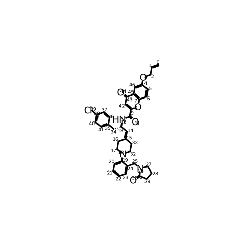 C=CCOc1ccc2oc(C(=O)N[C@H](C=C3CCN(c4ccccc4CN4CCCC4=O)CC3)Cc3ccc(Cl)cc3)cc(=O)c2c1